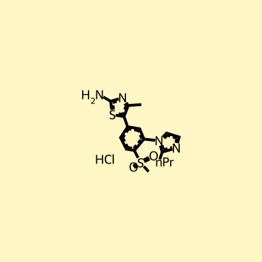 CCCc1nccn1-c1cc(-c2sc(N)nc2C)ccc1S(C)(=O)=O.Cl